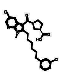 Cn1c(CCCCCCc2cccc(Cl)c2)c(C(=O)N2CC[C@H](C(=O)O)C2)c2cc(Cl)cnc21